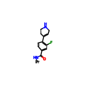 CC(C)NC(=O)c1ccc(C2=CCNCC2)c(F)c1